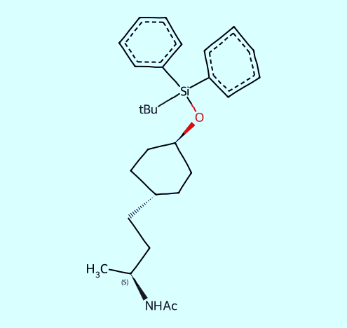 CC(=O)N[C@@H](C)CC[C@H]1CC[C@H](O[Si](c2ccccc2)(c2ccccc2)C(C)(C)C)CC1